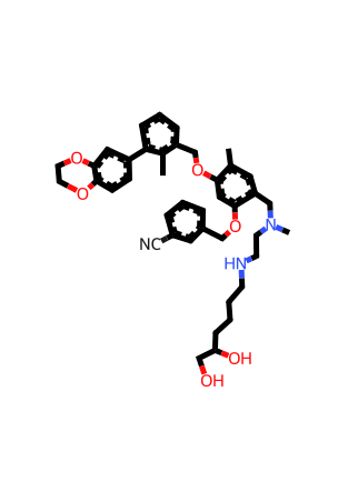 Cc1cc(CN(C)CCNCCCCC(O)CO)c(OCc2cccc(C#N)c2)cc1OCc1cccc(-c2ccc3c(c2)OCCO3)c1C